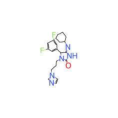 O=C1N/C(=N/C2CCCCC2)C(c2cc(F)cc(F)c2)N1CCCn1ccnc1